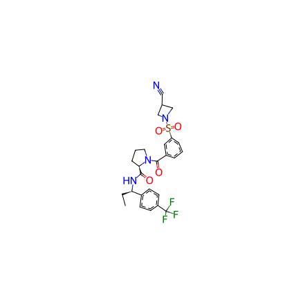 CC[C@@H](NC(=O)[C@H]1CCCN1C(=O)c1cccc(S(=O)(=O)N2CC(C#N)C2)c1)c1ccc(C(F)(F)F)cc1